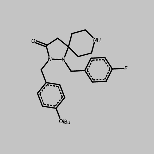 CC(C)COc1ccc(CN2C(=O)CC3(CCNCC3)N2Cc2ccc(F)cc2)cc1